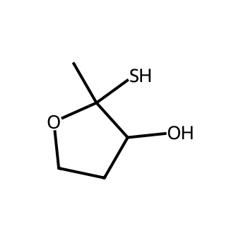 CC1(S)OCCC1O